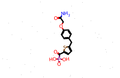 NC(=O)COc1ccc(Cc2ccc(C(=O)P(=O)(O)O)s2)cc1